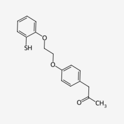 CC(=O)Cc1ccc(OCCOc2ccccc2S)cc1